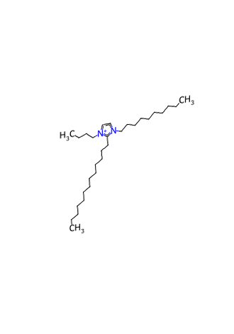 CCCCCCCCCCCCCc1n(CCCCCCCCCC)cc[n+]1CCCC